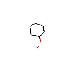 CCOC1C=CCC=C1